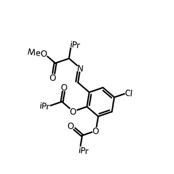 COC(=O)C(N=Cc1cc(Cl)cc(OC(=O)C(C)C)c1OC(=O)C(C)C)C(C)C